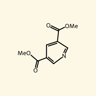 COC(=O)c1cncc(C(=O)OC)c1